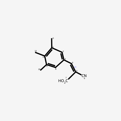 Cc1cc(/C=C(/C#N)C(=O)O)cc(C)c1C